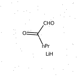 CCCC(=O)C=O.[LiH]